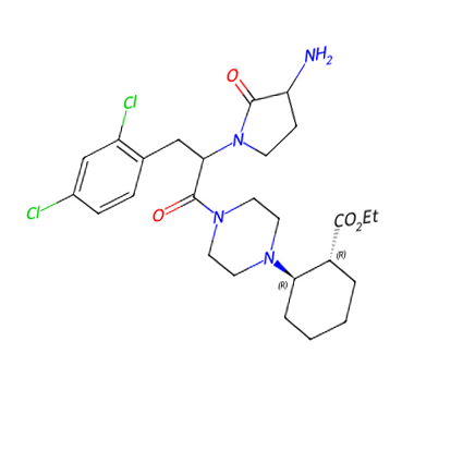 CCOC(=O)[C@@H]1CCCC[C@H]1N1CCN(C(=O)C(Cc2ccc(Cl)cc2Cl)N2CCC(N)C2=O)CC1